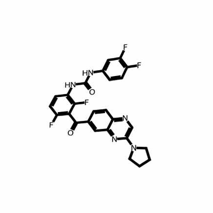 O=C(Nc1ccc(F)c(F)c1)Nc1ccc(F)c(C(=O)c2ccc3ncc(N4CCCC4)nc3c2)c1F